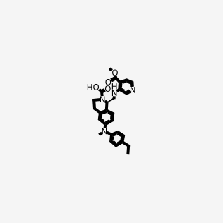 CCc1ccc(N(C)c2ccc3c(c2)CCN(C(=O)O)[C@H]3CNc2cnccc2C(=O)OC)cc1